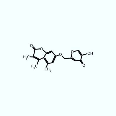 Cc1c(C)c2c(C)cc(OCc3cc(=O)c(O)co3)cc2oc1=O